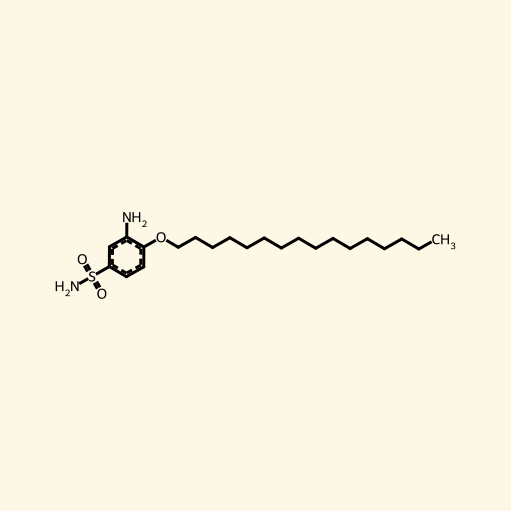 CCCCCCCCCCCCCCCCOc1ccc(S(N)(=O)=O)cc1N